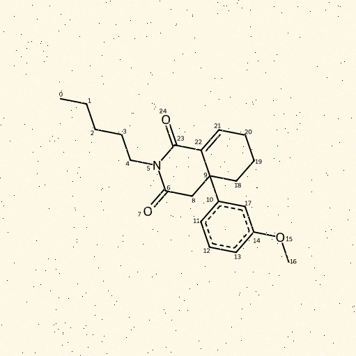 CCCCCN1C(=O)CC2(c3cccc(OC)c3)CCCC=C2C1=O